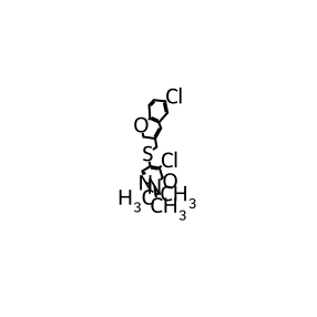 CC(C)(C)n1ncc(SCC2=Cc3cc(Cl)ccc3OC2)c(Cl)c1=O